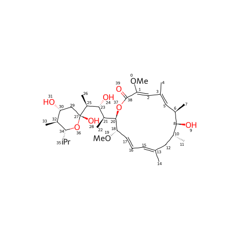 CO/C1=C\C(C)=C\[C@@H](C)[C@@H](O)[C@H](C)C/C(C)=C/C=C/[C@H](OC)[C@@H]([C@@H](C)[C@@H](O)[C@H](C)[C@@]2(O)C[C@@H](O)[C@H](C)[C@@H](C(C)C)O2)OC1=O